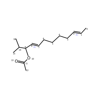 C/C=C/CCCC/C=C/C(OC(C)=O)C(C)C